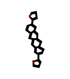 c1csc(-c2ccc3cc4cc5cc(-c6cccs6)ccc5cc4cc3c2)c1